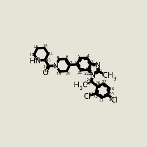 Cc1nc2ccc(C3=CCN(C(=O)C4CCCCN4)CC3)cc2n1[C@H](C)c1ccc(Cl)cc1Cl